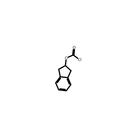 O=C(Cl)OC1Cc2ccccc2C1